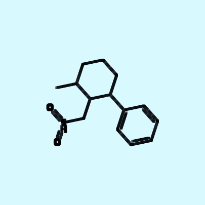 CC1CCCC(c2ccccc2)C1C[SH](=O)=O